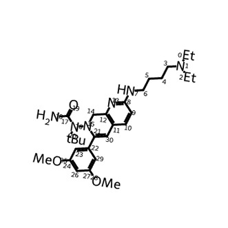 CCN(CC)CCCCNc1ccc2c(n1)CN(N(C(N)=O)C(C)(C)C)C(c1cc(OC)cc(OC)c1)=C2